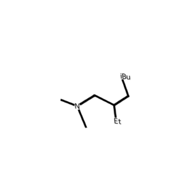 CCC(C)CC(CC)CN(C)C